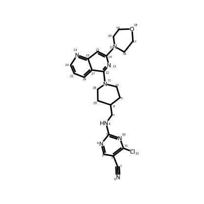 N#Cc1cnc(NCC2CCN(c3nc(N4CCOCC4)cc4ncccc34)CC2)nc1Cl